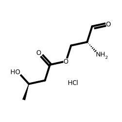 C[C@@H](O)CC(=O)OC[C@@H](N)C=O.Cl